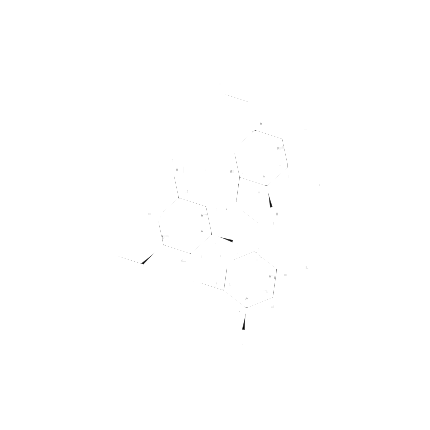 OC[C@H]1O[C@](O)(OC[C@H]2O[C@](O)(O[C@H]3[C@H](O)[C@@H](O)C(O)O[C@@H]3CO)[C@H](O)[C@@H](O)[C@H]2O)[C@H](O)[C@@H](O)[C@H]1O